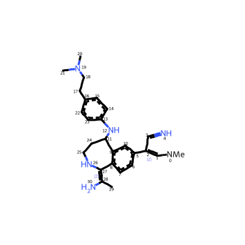 CN/C=C(\C=N)c1ccc2c(c1)C(Nc1ccc(CCN(C)C)cc1)CCN/C2=C(/C)N